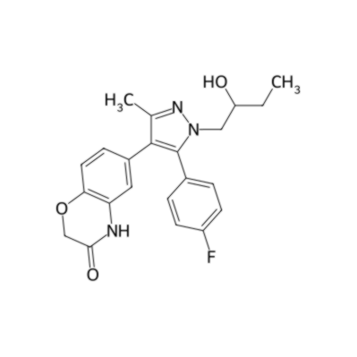 CCC(O)Cn1nc(C)c(-c2ccc3c(c2)NC(=O)CO3)c1-c1ccc(F)cc1